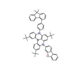 CC(C)(C)c1ccc2c(c1)B1c3ccc(C(C)(C)C)cc3N(c3ccc4c(c3)oc3ccccc34)c3cc(C(C)(C)C)cc(c31)N2c1ccc(-c2cccc3c2-c2ccccc2C3(C)C)cc1